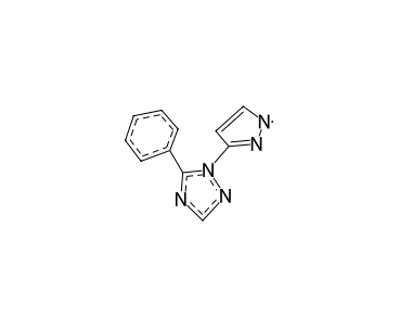 C1=CC(n2ncnc2-c2ccccc2)=N[N]1